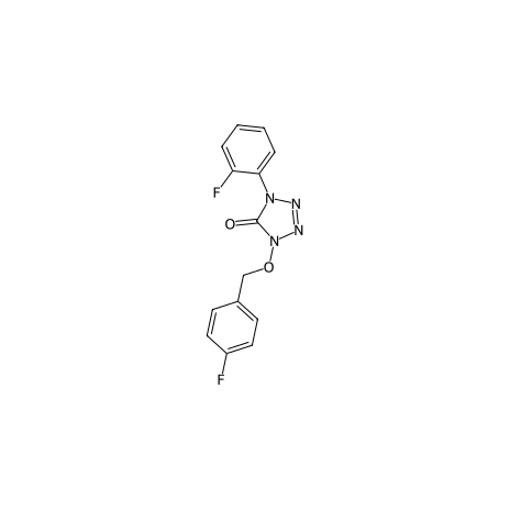 O=c1n(OCc2ccc(F)cc2)nnn1-c1ccccc1F